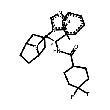 Cc1nncn1C1CC2CCC(C1)N2C[C@H](NC(=O)C1CCC(F)(F)CC1)c1ccccc1